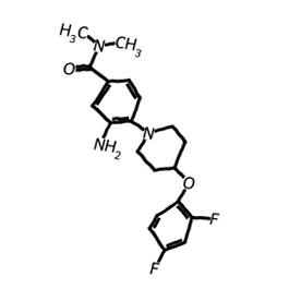 CN(C)C(=O)c1ccc(N2CCC(Oc3ccc(F)cc3F)CC2)c(N)c1